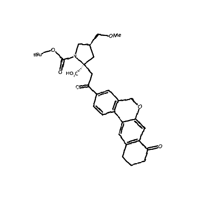 COC[C@@H]1CN(C(=O)OC(C)(C)C)[C@@](CC(=O)c2ccc3c(c2)COc2cc4c(cc2-3)CCCC4=O)(C(=O)O)C1